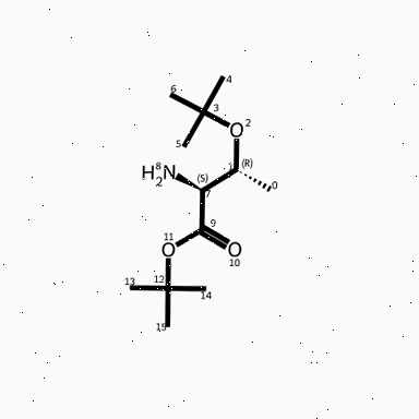 C[C@@H](OC(C)(C)C)[C@H](N)C(=O)OC(C)(C)C